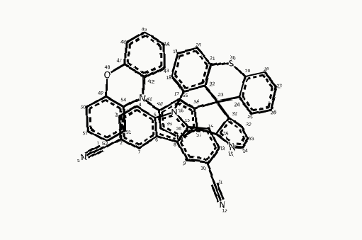 N#Cc1ccc2c(c1)c1cc(C#N)ccc1n2-c1cccc2c1C1(c3ccccc3S2)c2cccnc2-c2ncc(N3c4ccccc4Oc4ccccc43)cc21